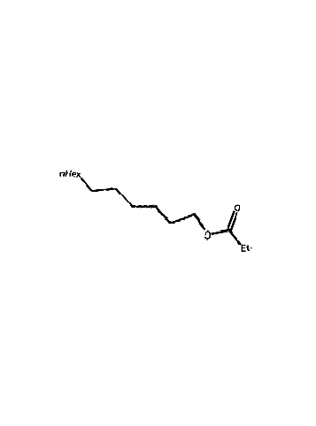 C[CH]C(=O)OCCCCCCCCCCCC